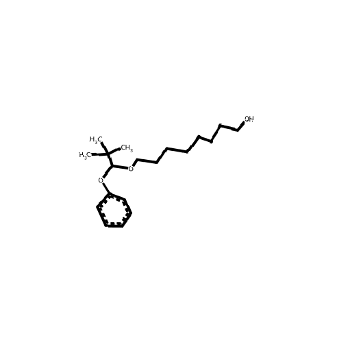 CC(C)(C)C(OCCCCCCCCO)Oc1ccccc1